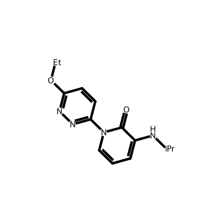 CCOc1ccc(-n2cccc(NC(C)C)c2=O)nn1